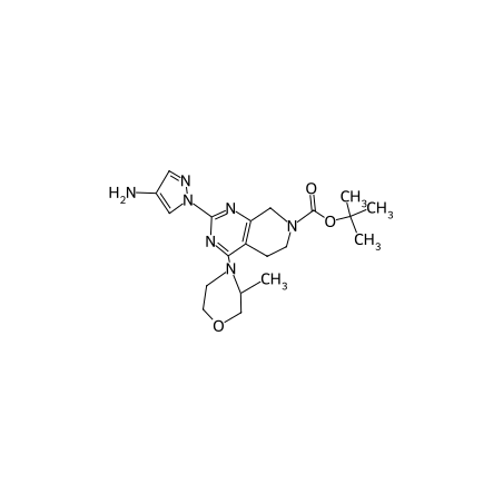 CC1COCCN1c1nc(-n2cc(N)cn2)nc2c1CCN(C(=O)OC(C)(C)C)C2